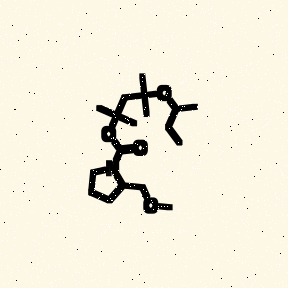 CCC(C)OC(C)(C)CC(C)(C)OC(=O)N1CCCC1COC